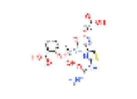 CC(C)(O/N=C(\C(=O)N[C@H]1Cc2cccc(C(=O)O)c2OB1O)c1csc(NC(=O)CN)n1)C(=O)O